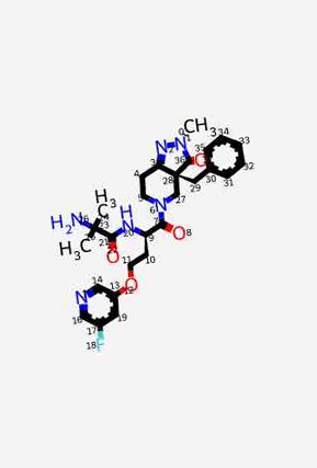 CN1N=C2CCN(C(=O)[C@@H](CCOc3cncc(F)c3)NC(=O)C(C)(C)N)C[C@@]2(Cc2ccccc2)C1=O